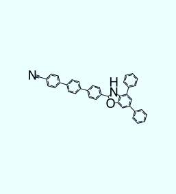 N#Cc1ccc(-c2ccc(-c3ccc(C4Nc5c(cc(-c6ccccc6)cc5-c5ccccc5)O4)cc3)cc2)cc1